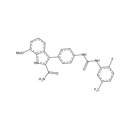 COc1cccc2c(-c3ccc(NC(=O)Nc4cc(C(F)(F)F)ccc4F)cc3)c(C(N)=O)[nH]c12